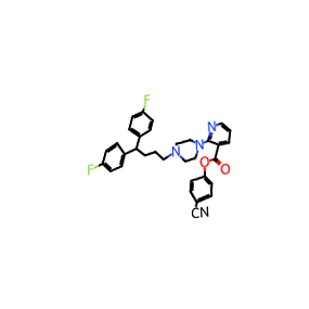 N#Cc1ccc(OC(=O)c2cccnc2N2CCN(CCCC(c3ccc(F)cc3)c3ccc(F)cc3)CC2)cc1